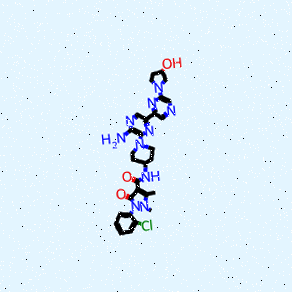 Cc1c(C(=O)NC2CCN(c3nc(-c4cncc(N5CCC(O)C5)n4)cnc3N)CC2)c(=O)n(-c2ccccc2Cl)n1C